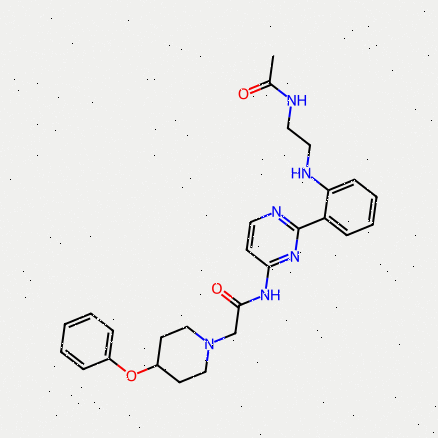 CC(=O)NCCNc1ccccc1-c1nccc(NC(=O)CN2CCC(Oc3ccccc3)CC2)n1